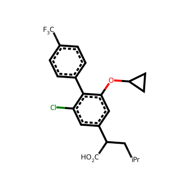 CC(C)CC(C(=O)O)c1cc(Cl)c(-c2ccc(C(F)(F)F)cc2)c(OC2CC2)c1